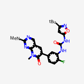 CNc1ncc2cc(-c3ccc(F)c(NC(=O)Nc4cc(C(C)(C)C)no4)c3)c(=O)n(C)c2n1